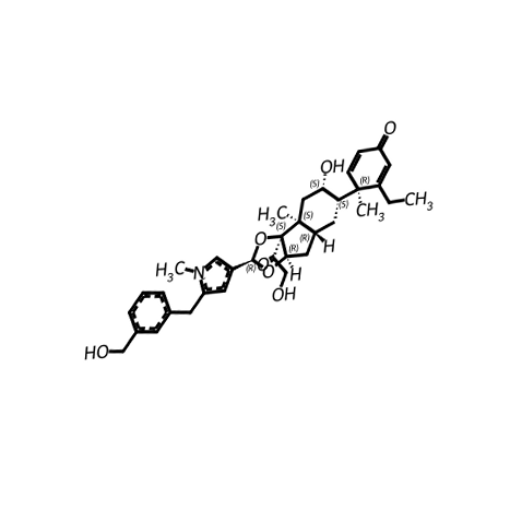 CCC1=CC(=O)C=C[C@]1(C)[C@@H]1C[C@@H]2C[C@H]3O[C@@H](c4cc(Cc5cccc(CO)c5)n(C)c4)O[C@@]3(C(=O)CO)[C@@]2(C)C[C@@H]1O